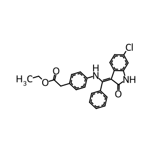 CCOC(=O)Cc1ccc(NC(=C2C(=O)Nc3cc(Cl)ccc32)c2ccccc2)cc1